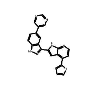 c1csc(-c2ccnc3[nH]c(-c4n[nH]c5ccc(-c6cncnc6)cc45)cc23)c1